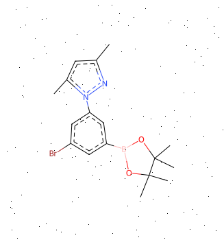 Cc1cc(C)n(-c2cc(Br)cc(B3OC(C)(C)C(C)(C)O3)c2)n1